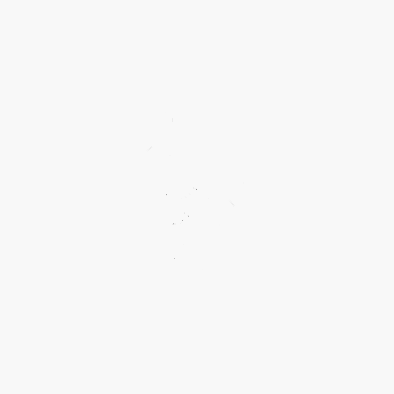 Cc1c(C(=O)O)ccc2c1nc(Nc1ccc(OC(F)(F)F)cc1)n2[C@@H]1CC(C)CC(C)(C)C1